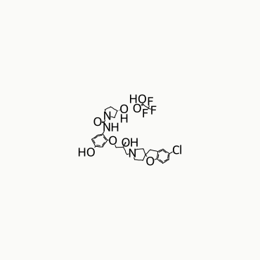 O=C(Nc1ccc(O)cc1OC[C@@H](O)CN1CCC2(CC1)Cc1cc(Cl)ccc1O2)N1CC[C@H](O)C1.O=C(O)C(F)(F)F